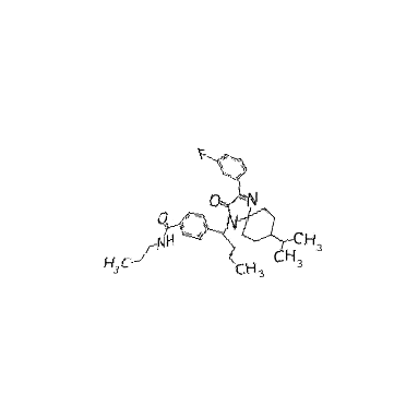 CCCNC(=O)c1ccc(C(CCC)N2C(=O)C(c3cccc(F)c3)=NC23CCC(C(C)C)CC3)cc1